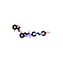 O=C(NC1CCN(CCN2CCC(O)CC2)CC1)c1cc2c(OCc3coc4cccc(F)c34)cccc2[nH]1